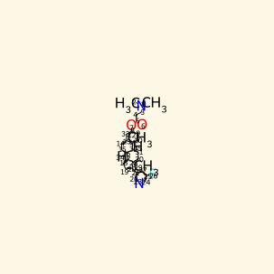 CN(C)CCC(=O)O[C@H]1CC[C@@]2(C)C(=CC[C@H]3C4=CC=C(c5cncc(F)c5)[C@@]4(C)CC[C@@H]32)C1